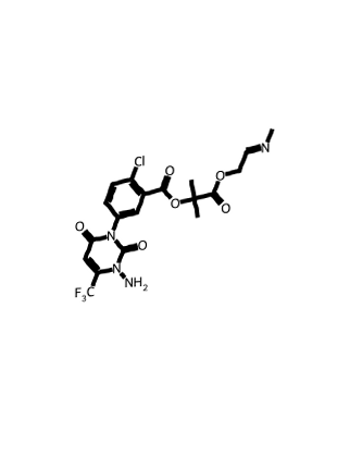 C/N=C/COC(=O)C(C)(C)OC(=O)c1cc(-n2c(=O)cc(C(F)(F)F)n(N)c2=O)ccc1Cl